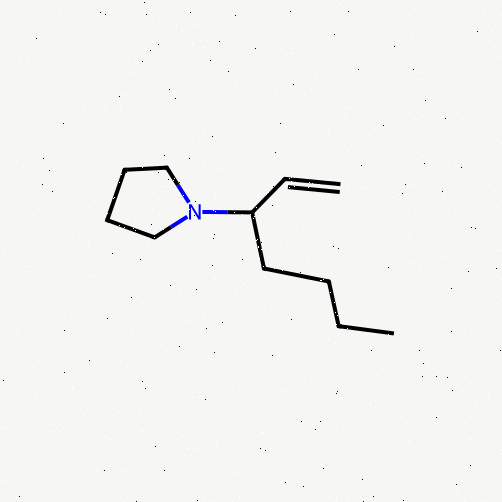 C=CC(CCCC)N1CCCC1